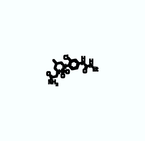 CCNC(=O)Nc1ccc(N2CC(C)CN(CC(N)=O)S2(=O)=O)c(Cl)c1